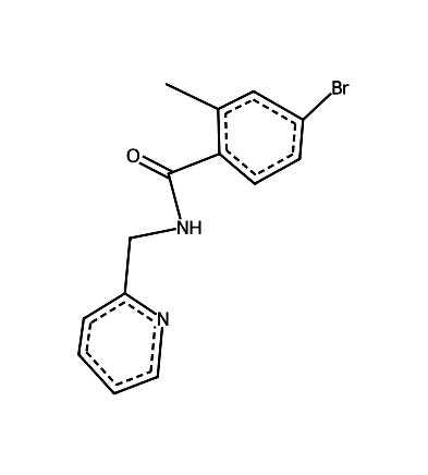 Cc1cc(Br)ccc1C(=O)NCc1ccccn1